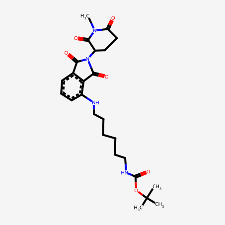 CN1C(=O)CCC(N2C(=O)c3cccc(NCCCCCCNC(=O)OC(C)(C)C)c3C2=O)C1=O